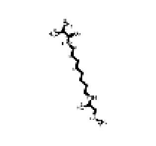 COCC(O)NCCCCCCCCNC(=O)C(C)C